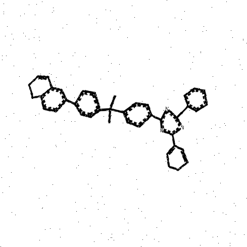 CC(C)(c1ccc(-c2ccc3c(c2)C=CCC3)cc1)c1ccc(-c2nc(C3=CCCC=C3)nc(-c3ccccc3)n2)cc1